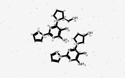 Nc1nc(-n2cccn2)nc(N2CCC(O)C2)c1Br.Nc1nc(-n2cccn2)nc(N2CCC[C@H]2CO)c1Br